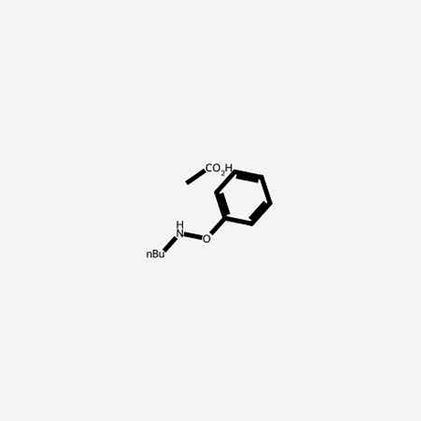 CC(=O)O.CCCCNOc1ccccc1